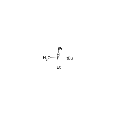 CC[PH](C)(C(C)C)C(C)(C)C